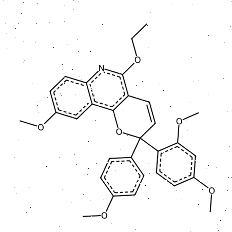 CCOc1nc2ccc(OC)cc2c2c1C=CC(c1ccc(OC)cc1)(c1ccc(OC)cc1OC)O2